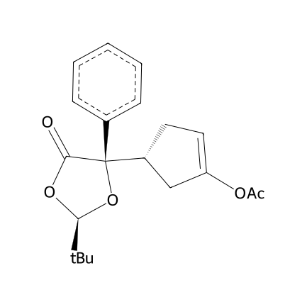 CC(=O)OC1=CC[C@@H]([C@]2(c3ccccc3)O[C@@H](C(C)(C)C)OC2=O)C1